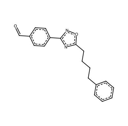 O=Cc1ccc(-c2noc(CCCCc3ccccc3)n2)cc1